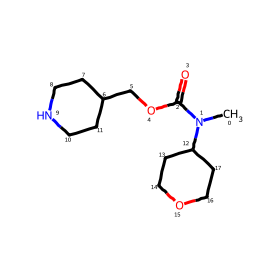 CN(C(=O)OCC1CCNCC1)C1CCOCC1